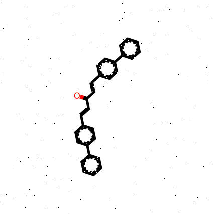 O=C(C=Cc1ccc(-c2ccccc2)cc1)C=Cc1ccc(-c2ccccc2)cc1